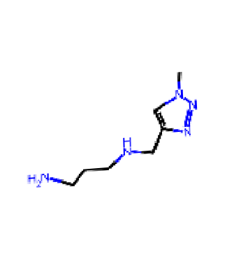 Cn1cc(CNCCCN)nn1